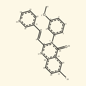 COc1cccc(-n2c(/C=C/c3cccnc3)nc3ccc(I)cc3c2=O)c1